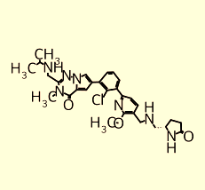 COc1nc(-c2cccc(-c3cc4c(=O)n(C)c(CNC(C)C)nn4c3)c2Cl)ccc1CNC[C@@H]1CCC(=O)N1